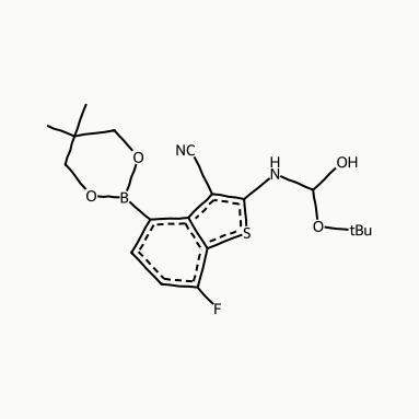 CC1(C)COB(c2ccc(F)c3sc(NC(O)OC(C)(C)C)c(C#N)c23)OC1